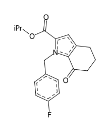 CC(C)OC(=O)c1cc2c(n1Cc1ccc(F)cc1)C(=O)CCC2